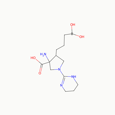 NC1(C(=O)O)CN(C2=NCCCN2)CC1CCCB(O)O